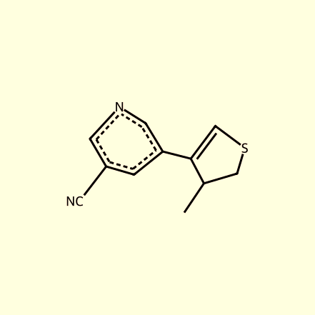 CC1CSC=C1c1cncc(C#N)c1